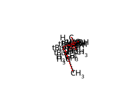 CCCC.CCCCCCCCCCCCC.CCCCCCCCCCCCC.Cc1cc(C(C)(C)C)cc(C(C)(C)C)c1.Cc1cc(C(C)(C)C)cc(C(C)(C)C)c1.Cc1ccc(C(C)(C)C)cc1.Cc1ccc(C(C)(C)C)cc1.OP(O)O.OP(O)O